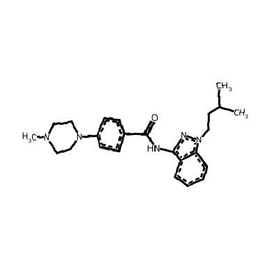 CC(C)CCn1nc(NC(=O)c2ccc(N3CCN(C)CC3)cc2)c2ccccc21